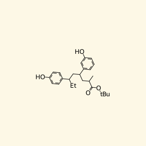 CCC(CC(CC(C)C(=O)OC(C)(C)C)c1cccc(O)c1)c1ccc(O)cc1